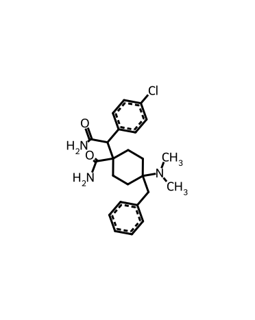 CN(C)C1(Cc2ccccc2)CCC(C(N)=O)(C(C(N)=O)c2ccc(Cl)cc2)CC1